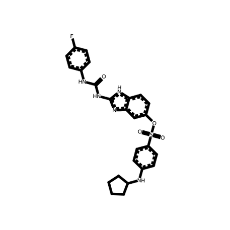 O=C(Nc1ccc(F)cc1)Nc1nc2cc(OS(=O)(=O)c3ccc(NC4CCCC4)cc3)ccc2[nH]1